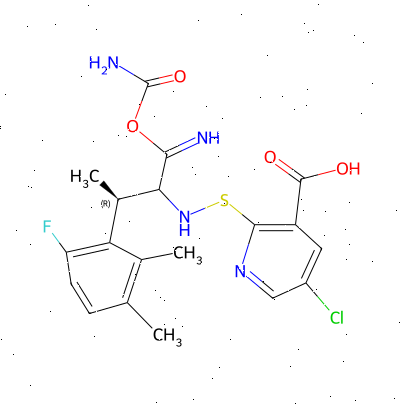 Cc1ccc(F)c([C@@H](C)C(NSc2ncc(Cl)cc2C(=O)O)C(=N)OC(N)=O)c1C